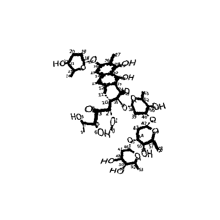 CO[C@H](C(=O)[C@@H](O)[C@@H](C)O)[C@@H]1Cc2cc3cc(O[C@H]4CC[C@H](O)C(C)O4)c(C)c(O)c3c(O)c2C(=O)[C@H]1O[C@H]1C[C@@H](O[C@H]2C[C@@H](O[C@H]3CC(O)[C@H](O)C(C)O3)[C@H](O)C(C)O2)[C@H](O)C(C)O1